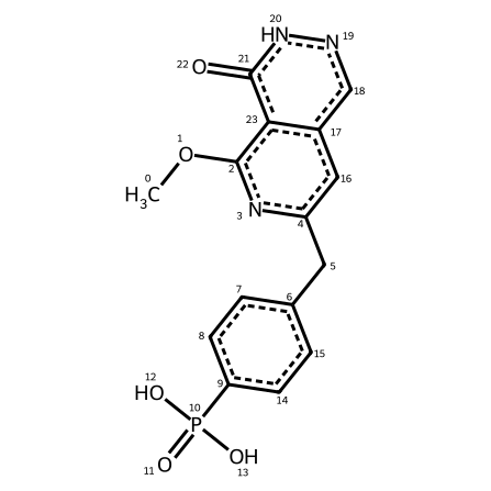 COc1nc(Cc2ccc(P(=O)(O)O)cc2)cc2cn[nH]c(=O)c12